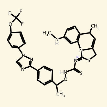 CNc1ccc2c(c1)N1C(=CC2C)CS/C1=N\C(=S)NOC(C)c1ccc(-c2ncn(-c3ccc(OC(F)(F)F)cc3)n2)cc1